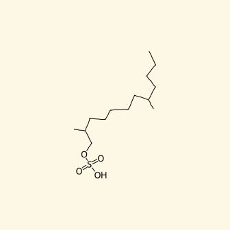 CCCCC(C)CCCCCC(C)COS(=O)(=O)O